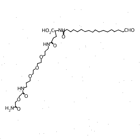 NC(=O)COCC(=O)NCCCOCCOCCOCCCNC(=O)CCC(NC(=O)CCCCCCCCCCCCCCCCC=O)C(=O)O